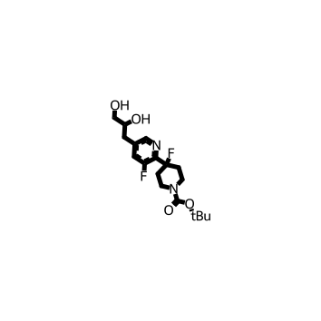 CC(C)(C)OC(=O)N1CCC(F)(c2ncc(CC(O)CO)cc2F)CC1